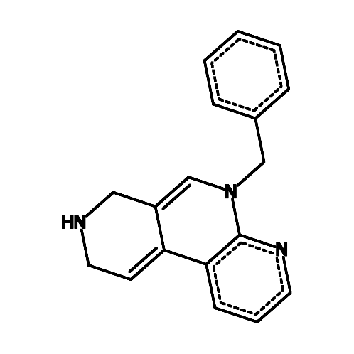 C1=C2CNCC=C2c2cccnc2N1Cc1ccccc1